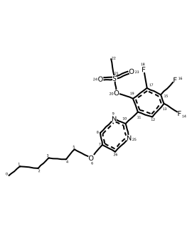 CCCCCCOc1cnc(-c2cc(F)c(F)c(F)c2OS(C)(=O)=O)nc1